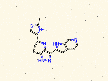 Cc1ncc(-c2ccc3[nH]nc(-c4cc5ccncc5[nH]4)c3n2)n1C